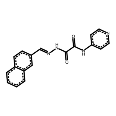 O=C(NN=Cc1ccc2ccccc2c1)C(=O)Nc1ccncc1